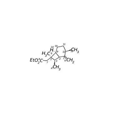 C=C1C2[C@@H](C)[C@@](C)(CC(=O)OCC)[C@H]2CC[C@H]1C